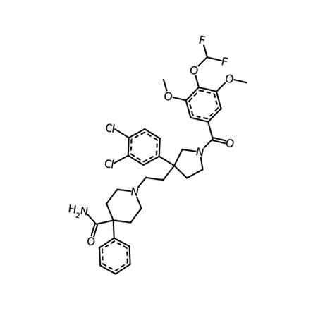 COc1cc(C(=O)N2CCC(CCN3CCC(C(N)=O)(c4ccccc4)CC3)(c3ccc(Cl)c(Cl)c3)C2)cc(OC)c1OC(F)F